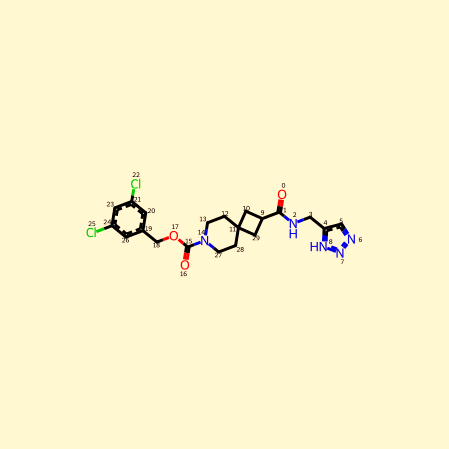 O=C(NCc1cnn[nH]1)C1CC2(CCN(C(=O)OCc3cc(Cl)cc(Cl)c3)CC2)C1